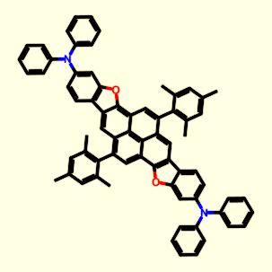 Cc1cc(C)c(-c2cc3c4oc5cc(N(c6ccccc6)c6ccccc6)ccc5c4cc4c(-c5c(C)cc(C)cc5C)cc5c6oc7cc(N(c8ccccc8)c8ccccc8)ccc7c6cc2c5c43)c(C)c1